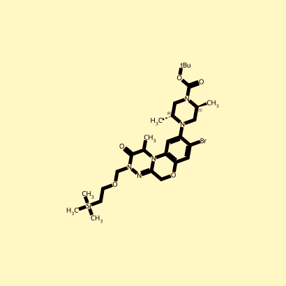 CC1C(=O)N(COCC[Si](C)(C)C)N=C2COc3cc(Br)c(N4C[C@H](C)N(C(=O)OC(C)(C)C)C[C@H]4C)cc3N21